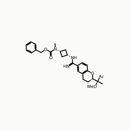 CO[C@](C)(C(C)=O)[C@H]1CCc2cc(C(=N)N[C@H]3C[C@@H](N(C)C(=O)OCc4ccccc4)C3)ccc2O1